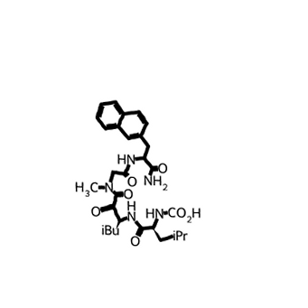 CC[C@H](C)C(NC(=O)[C@H](CC(C)C)NC(=O)O)C(=O)C(=O)N(C)CC(=O)NC(Cc1ccc2ccccc2c1)C(N)=O